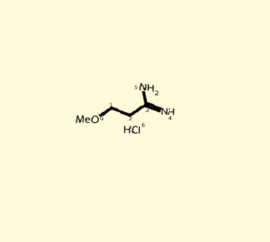 COCCC(=N)N.Cl